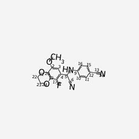 COc1cc(C(C#N)Nc2ccc(C#N)cc2)c(F)c2c1OCCO2